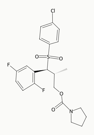 C[C@H](COC(=O)N1CCCC1)[C@@H](c1cc(F)ccc1F)S(=O)(=O)c1ccc(Cl)cc1